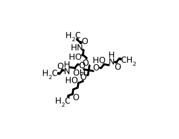 C=CC(=O)CCC(O)COCC(COCC(O)CNC(=O)C=C)(COCC(O)CNC(=O)C=C)COCC(O)CNC(=O)C=C